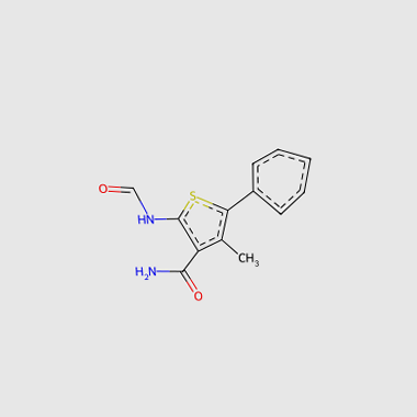 Cc1c(-c2ccccc2)sc(NC=O)c1C(N)=O